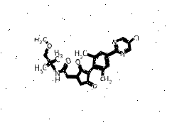 COCC(C)(C)NC(=O)CC1CC(=O)C(c2c(C)cc(-c3ncc(Cl)cn3)cc2C)C1=O